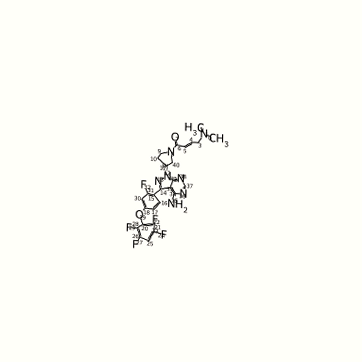 CN(C)CC=CC(=O)N1CC[C@@H](n2nc(-c3ccc(Oc4c(F)c(F)cc(F)c4F)cc3F)c3c(N)ncnc32)C1